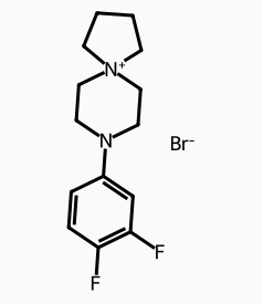 Fc1ccc(N2CC[N+]3(CCCC3)CC2)cc1F.[Br-]